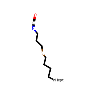 CCCCCCCCCCCSCCCN=C=O